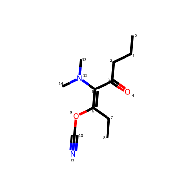 CCCC(=O)/C(=C(\CC)OC#N)N(C)C